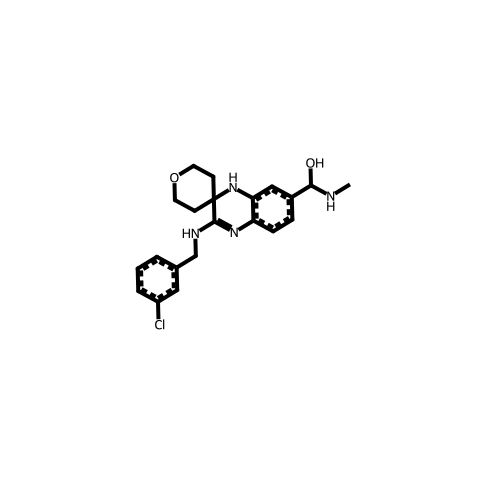 CNC(O)c1ccc2c(c1)NC1(CCOCC1)C(NCc1cccc(Cl)c1)=N2